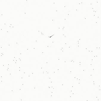 O=C(NCC(F)(F)F)[C@H]1C[C@H](O)CN1c1nc(-c2c[nH]c3ncccc23)ncc1F